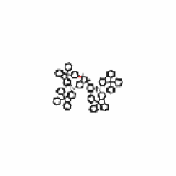 CC1(C)CC(C)(c2cccc(N(c3ccc4c(c3)C(c3ccccc3)(c3ccccc3)c3ccccc3-4)c3ccc4c(c3)C(c3ccccc3)(c3ccccc3)c3ccccc3-4)c2)c2ccc(N(c3ccc4c(c3)C(c3ccccc3)(c3ccccc3)c3ccccc3-4)c3ccc4c(c3)C(c3ccccc3)(c3ccccc3)c3ccccc3-4)cc21